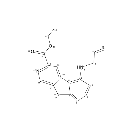 C=CCNc1cccc2[nH]c3cnc(C(=O)OCC)cc3c12